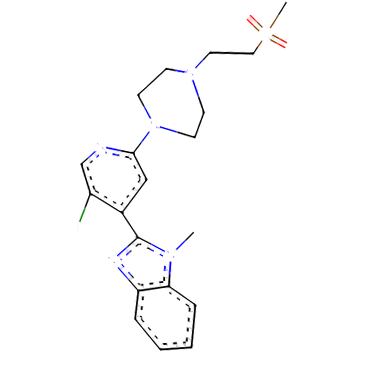 Cn1c(-c2cc(N3CCN(CCS(C)(=O)=O)CC3)ncc2Cl)nc2ccccc21